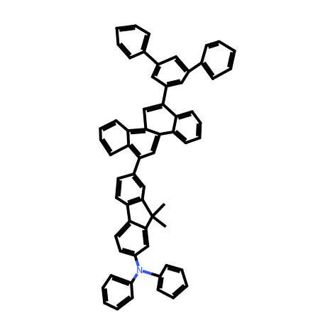 CC1(C)c2cc(-c3cc4c5ccccc5c(-c5cc(-c6ccccc6)cc(-c6ccccc6)c5)cc4c4ccccc34)ccc2-c2ccc(N(c3ccccc3)c3ccccc3)cc21